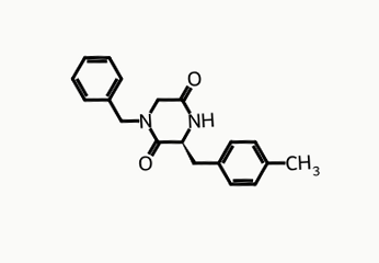 Cc1ccc(C[C@@H]2NC(=O)CN(Cc3ccccc3)C2=O)cc1